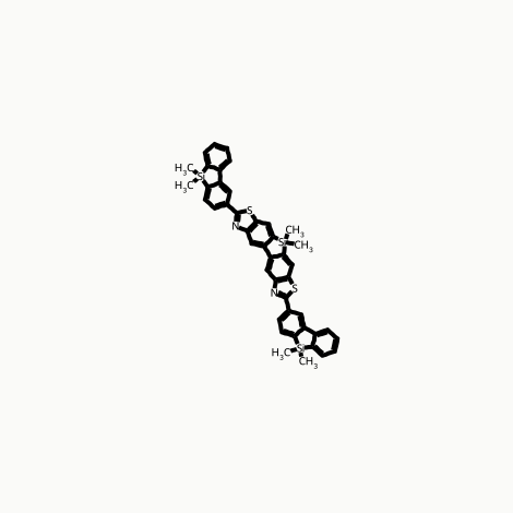 C[Si]1(C)c2ccccc2-c2cc(-c3nc4cc5c(cc4s3)[Si](C)(C)c3cc4sc(-c6ccc7c(c6)-c6ccccc6[Si]7(C)C)nc4cc3-5)ccc21